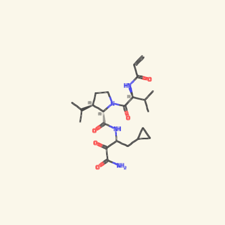 C=CC(=O)N[C@H](C(=O)N1CC[C@H](C(C)C)[C@H]1C(=O)NC(CC1CC1)C(=O)C(N)=O)C(C)C